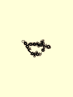 CC(C)N(CC#Cc1ccc2c(c1)CN(C1CCC(=O)NC1=O)C2=O)C[C@]1(C)CCC(c2ccc(Cl)cc2)=C(CN2CCN(c3ccc(C(=O)NS(=O)(=O)c4ccc(N[C@H](CCN5CCCOCC5)CSc5ccccc5)c(S(=O)(=O)C(F)(F)F)c4)cc3)CC2)C1